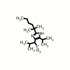 CCCCC(C)(C)c1nc(C(C)C(C)C)c(C(C)C)[nH]1